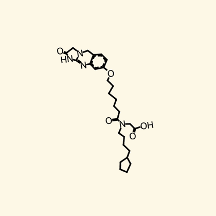 O=C(O)CN(CCCCC1CCCC1)C(=O)CCCCCCOc1ccc2c(c1)N=C1NC(=O)CN1C2